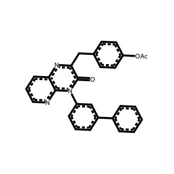 CC(=O)Oc1ccc(Cc2nc3cccnc3n(-c3cccc(-c4ccccc4)c3)c2=O)cc1